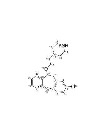 Clc1ccc2c(c1)CC(OCCN1CCNCC1)c1ccccc1S2